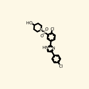 O=S(=O)(c1cc(-c2nc(-c3ccc(Cl)cc3)c[nH]2)ccc1Cl)N1CCC(O)CC1